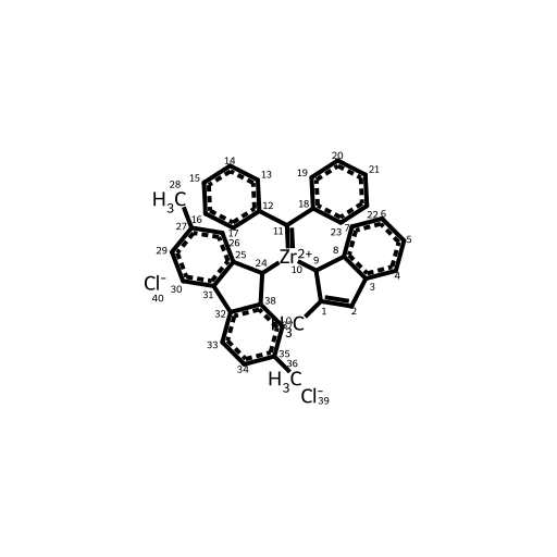 CC1=Cc2ccccc2[CH]1[Zr+2](=[C](c1ccccc1)c1ccccc1)[CH]1c2cc(C)ccc2-c2ccc(C)cc21.[Cl-].[Cl-]